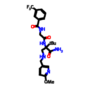 COc1ccc(CNCC(NC(=O)CNC(=O)c2cccc(C(F)(F)F)c2)(C(N)=O)C(C)(C)C)cn1